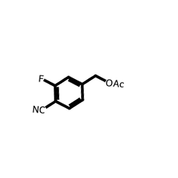 CC(=O)OCc1ccc(C#N)c(F)c1